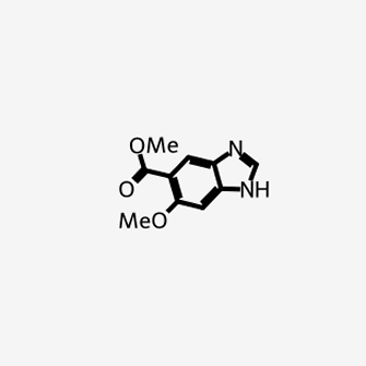 COC(=O)c1cc2nc[nH]c2cc1OC